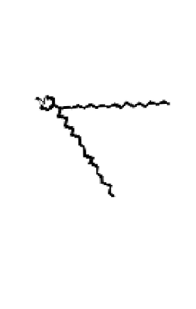 CCCCCCCCC=CCCCCCCCCC(CCCCCCCCC=CCCCCCCCC)c1cc[n+](C)cc1